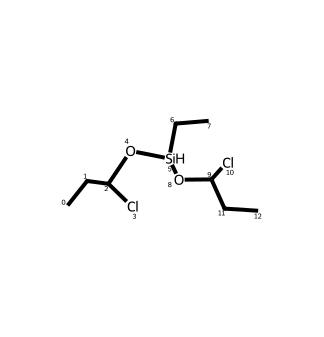 CCC(Cl)O[SiH](CC)OC(Cl)CC